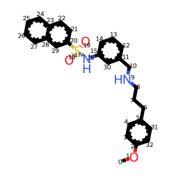 COc1ccc(CCCNCc2cccc(NS(=O)(=O)c3ccc4ccccc4c3)c2)cc1